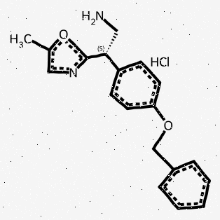 Cc1cnc([C@H](CN)c2ccc(OCc3ccccc3)cc2)o1.Cl